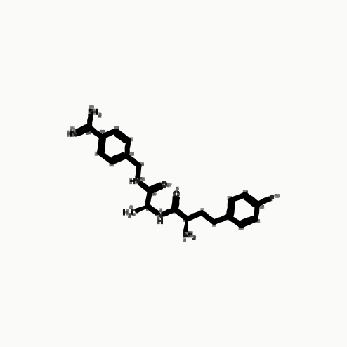 C[C@H](NC(=O)[C@H](N)CCc1ccc(F)cc1)C(=O)NCc1ccc(C(=N)N)cc1